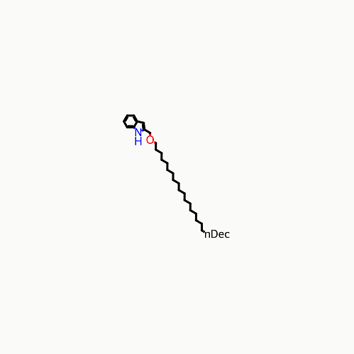 CCCCCCCCCCCCCCCCCCCCCCCCCCCCOCc1cc2ccccc2[nH]1